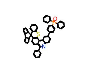 O=P(c1ccccc1)(c1ccccc1)c1ccc(-c2ccc3nc(-c4ccccc4)c4ccc5c(c4c3c2)Sc2ccccc2C52c3ccccc3-c3ccccc32)cc1